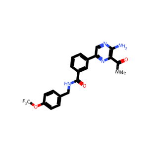 CNC(=O)c1nc(-c2cccc(C(=O)NCc3ccc(OC(F)(F)F)cc3)c2)cnc1N